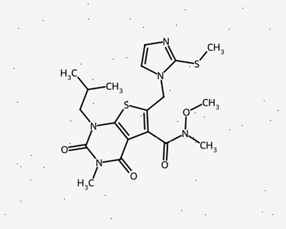 CON(C)C(=O)c1c(Cn2ccnc2SC)sc2c1c(=O)n(C)c(=O)n2CC(C)C